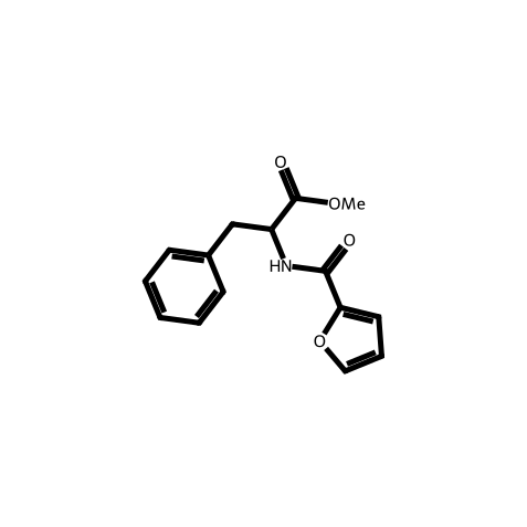 COC(=O)C(Cc1ccccc1)NC(=O)c1ccco1